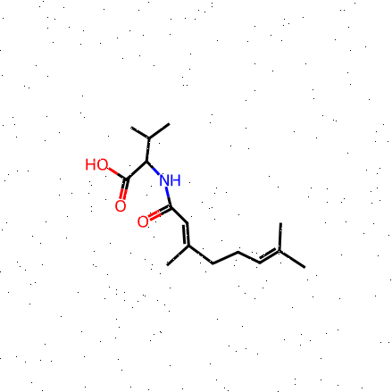 CC(C)=CCCC(C)=CC(=O)NC(C(=O)O)C(C)C